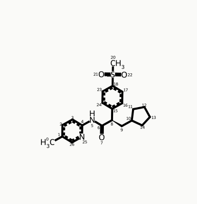 Cc1ccc(NC(=O)[C@H](CC2CCCC2)c2ccc(S(C)(=O)=O)cc2)nc1